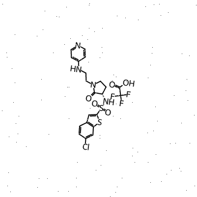 O=C(O)C(F)(F)F.O=C1[C@@H](NS(=O)(=O)c2cc3ccc(Cl)cc3s2)CCN1CCNc1ccncc1